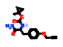 C#CCOc1ccc(C[C@H](NC(=O)OC2(C)CC2)C(N)=O)cc1